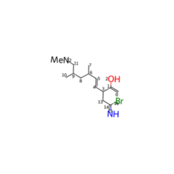 C=C(O)C(/C=C/C(C)CC(C)CNC)CC(=N)Br